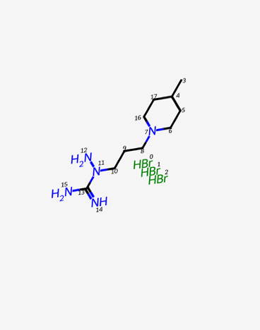 Br.Br.Br.CC1CCN(CCCN(N)C(=N)N)CC1